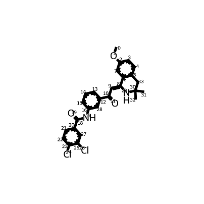 COc1ccc2c(c1)/C(=C/C(=O)c1cccc(NC(=O)c3ccc(Cl)c(Cl)c3)c1)NC(C)(C)C2